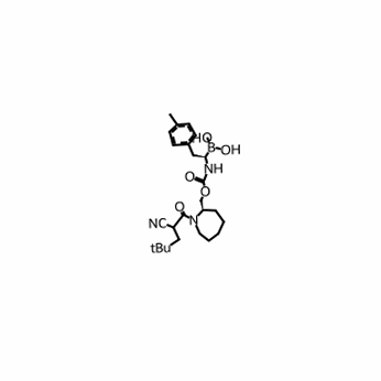 Cc1ccc(C[C@H](NC(=O)OC[C@H]2CCCCCN2C(=O)C(C#N)CC(C)(C)C)B(O)O)cc1